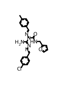 Cc1ccc(/C=N/N(C(=O)NCc2ccco2)/C(N)=N/N=C/c2ccc(Cl)cc2)cc1